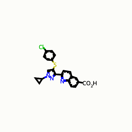 O=C(O)c1ccc2nc(-c3nn(C4CC4)cc3Sc3ccc(Cl)cc3)ccc2c1